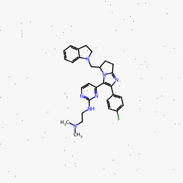 CN(C)CCNc1nccc(-c2c(-c3ccc(F)cc3)nc3n2C(CN2CCc4ccccc42)CC3)n1